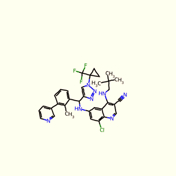 Cc1c(-c2cccnc2)cccc1C(Nc1cc(Cl)c2ncc(C#N)c(NCC(C)(C)C)c2c1)c1cn(C2(C(F)(F)F)CC2)nn1